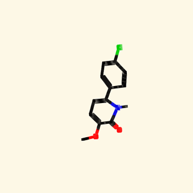 COc1ccc(-c2ccc(Cl)cc2)n(C)c1=O